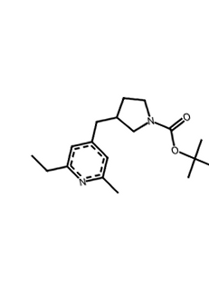 CCc1cc(CC2CCN(C(=O)OC(C)(C)C)C2)cc(C)n1